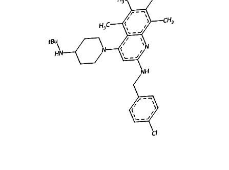 Cc1c(C)c(C)c2c(N3CCC(NC(C)(C)C)CC3)cc(NCc3ccc(Cl)cc3)nc2c1C